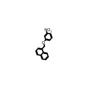 O=[N+]([O-])c1cccc(OCc2cccc3ccccc23)c1